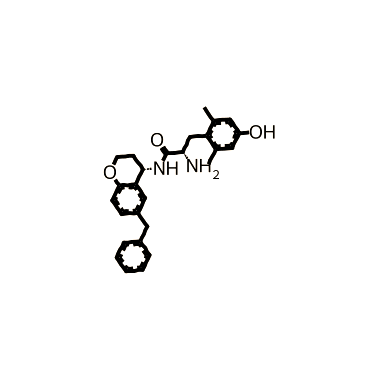 Cc1cc(O)cc(C)c1C[C@H](N)C(=O)N[C@H]1CCOc2ccc(Cc3ccccc3)cc21